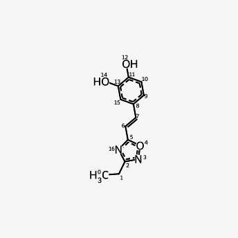 CCc1noc(/C=C/c2ccc(O)c(O)c2)n1